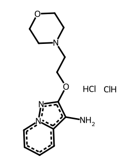 Cl.Cl.Nc1c(OCCN2CCOCC2)nn2ccccc12